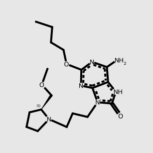 CCCCOc1nc(N)c2[nH]c(=O)n(CCCN3CCC[C@H]3COC)c2n1